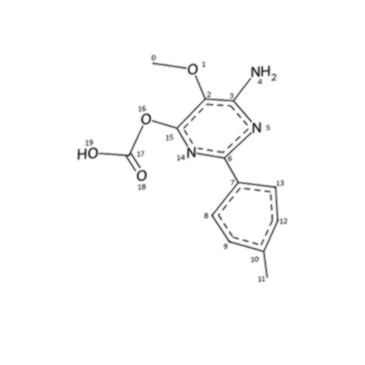 COc1c(N)nc(-c2ccc(C)cc2)nc1OC(=O)O